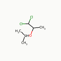 CC(O[SiH](C)C)C(Cl)Cl